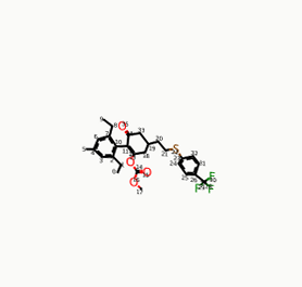 CCc1cc(C)cc(CC)c1C1=C(OC(=O)OC)CC(CCSc2ccc(C(F)(F)F)cc2)CC1=O